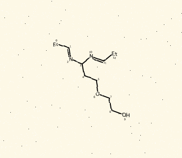 CCC=NC(CCOCCO)N=CCC